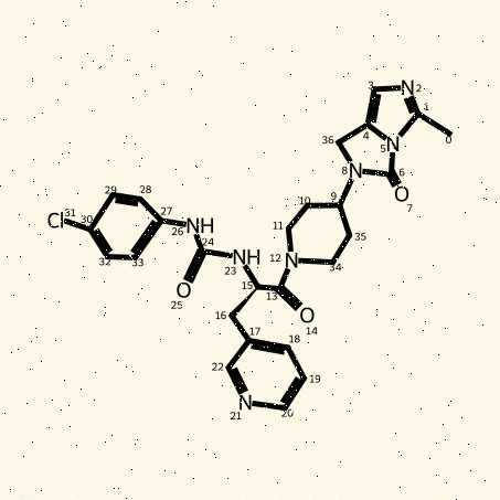 Cc1ncc2n1C(=O)N(C1CCN(C(=O)[C@@H](Cc3cccnc3)NC(=O)Nc3ccc(Cl)cc3)CC1)C2